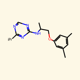 Cc1cc(C)cc(OCC(C)Nc2ncnc(C(C)C)n2)c1